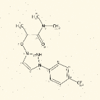 CC(ON1C=CN(c2ccc(C(F)(F)F)cc2)N1)C(=O)N(C)C